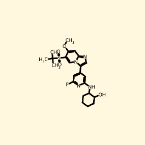 COc1cc2ncc(-c3cc(F)nc(NC4CCCCC4O)c3)n2cc1S(=O)(=O)C(C)(C)C